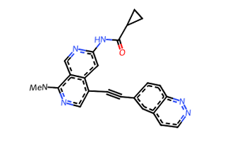 CNc1ncc(C#Cc2ccc3nnccc3c2)c2cc(NC(=O)C3CC3)ncc12